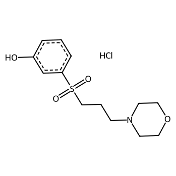 Cl.O=S(=O)(CCCN1CCOCC1)c1cccc(O)c1